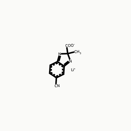 CC1(C(=O)[O-])N=c2ccc(C#N)cc2=N1.[Li+]